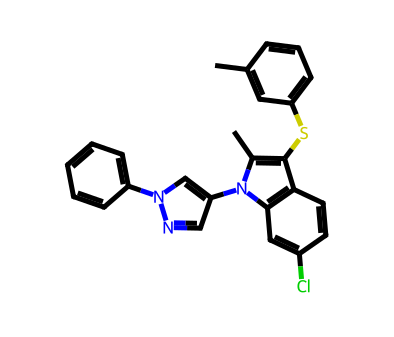 Cc1cccc(Sc2c(C)n(-c3cnn(-c4ccccc4)c3)c3cc(Cl)ccc23)c1